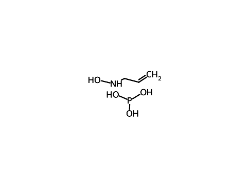 C=CCNO.OP(O)O